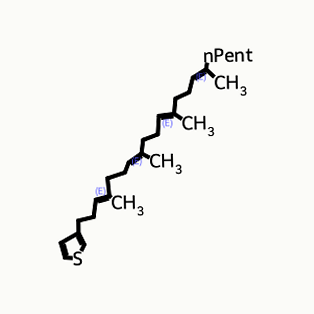 CCCCC/C(C)=C/CC/C(C)=C/CC/C(C)=C/CC/C(C)=C/CCc1ccsc1